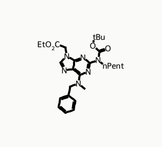 CCCCCN(C(=O)OC(C)(C)C)c1nc(N(C)Cc2ccccc2)c2ncn(CC(=O)OCC)c2n1